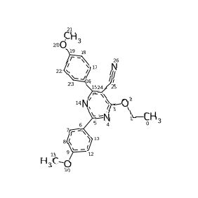 CCOc1nc(-c2ccc(OC)cc2)nc(-c2ccc(OC)cc2)c1C#N